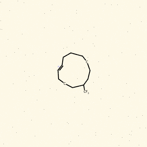 FC(F)(F)C1CCC/[C]=C/CCCCCC1